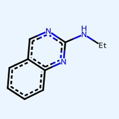 CCNc1ncc2ccccc2n1